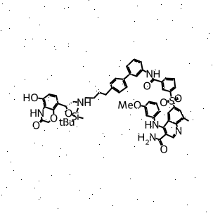 COc1cccc(Nc2c(C(N)=O)cnc3c(C)cc(S(=O)(=O)c4cccc(C(=O)Nc5cccc(-c6ccc(CCCCNC[C@H](O[Si](C)(C)C(C)(C)C)c7ccc(O)c8c7OCC(=O)N8)cc6)c5)c4)cc23)c1